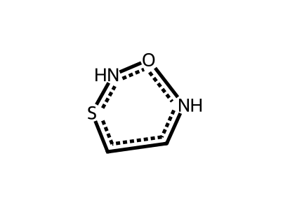 c1cs[nH]o[nH]1